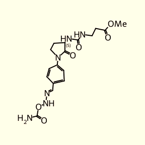 COC(=O)CCNC(=O)N[C@H]1CCN(c2ccc(C=NNOC(N)=O)cc2)C1=O